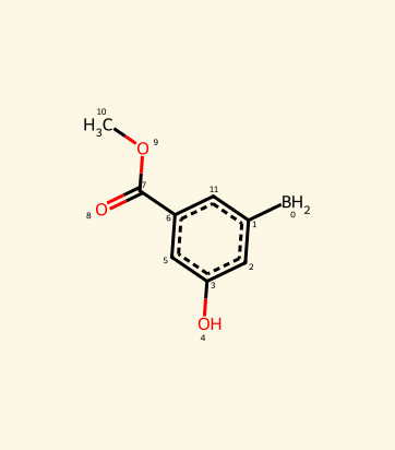 Bc1cc(O)cc(C(=O)OC)c1